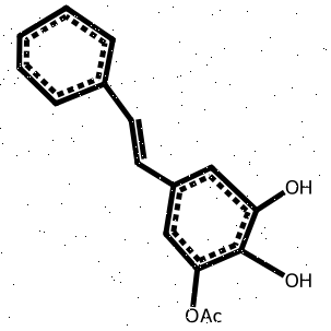 CC(=O)Oc1cc(C=Cc2ccccc2)cc(O)c1O